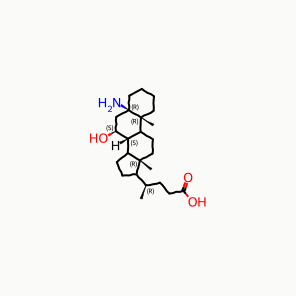 C[C@H](CCC(=O)O)C1CCC2[C@H]3C(CC[C@@]21C)[C@@]1(C)CCCC[C@@]1(N)C[C@@H]3O